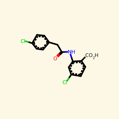 O=C(Cc1ccc(Cl)cc1)Nc1cc(Cl)ccc1C(=O)O